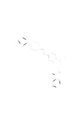 N#CC(CCNC(=O)c1ccccc1O)C1CCC(CCN2CCN(c3ccc(F)c(Cl)c3F)CC2)CC1